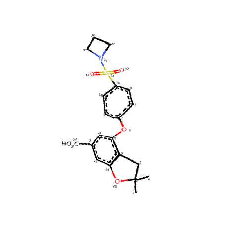 CC1(C)Cc2c(Oc3ccc(S(=O)(=O)N4CCC4)cc3)cc(C(=O)O)cc2O1